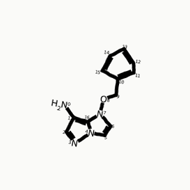 Nc1cnn2ccn(OCc3ccccc3)c12